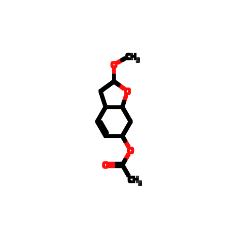 COC1CC2C=CC(OC(C)=O)CC2O1